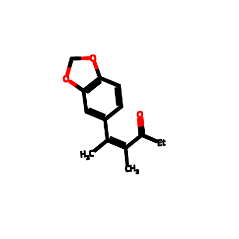 CCC(=O)C(C)=C(C)c1ccc2c(c1)OCO2